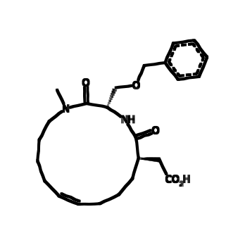 CN1CCCCC=CCCC[C@H](CC(=O)O)C(=O)N[C@@H](COCc2ccccc2)C1=O